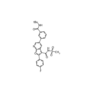 CC(C)(C)NC(=O)c1cccc(-c2cnc3oc(-c4ccc(F)cc4)c(C(=O)NS(C)(=O)=O)c3c2)c1